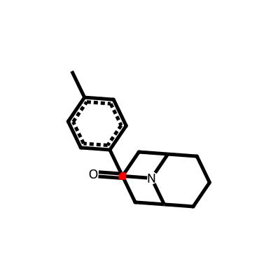 Cc1ccc(CN2C3CCCC2CC(=O)C3)cc1